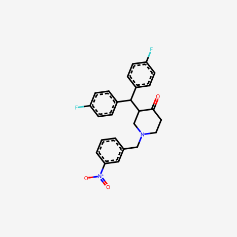 O=C1CCN(Cc2cccc([N+](=O)[O-])c2)CC1C(c1ccc(F)cc1)c1ccc(F)cc1